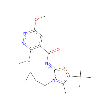 COc1cc(C(=O)/N=c2\sc(C(C)(C)C)c(C)n2CC2CC2)c(OC)nn1